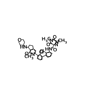 COc1nc(-c2cccc(-c3cccc(NC(=O)c4nn(C)c(=O)n(C)c4=O)c3Cl)c2Cl)cc2c1C(NC1CCOCC1)CC2